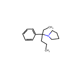 CCCC(CC)(c1ccccc1)N1CCCC1